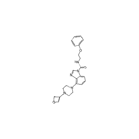 O=C(NCCOc1ccccc1)n1cnc2c(N3CCN(C4COC4)CC3)cccc21